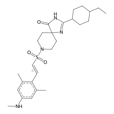 CCC1CCC(C2=NC3(CCN(S(=O)(=O)/C=C/c4c(C)cc(NC)cc4C)CC3)C(=O)N2)CC1